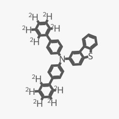 [2H]c1c([2H])c([2H])c(-c2ccc(N(c3ccc(-c4c([2H])c([2H])c([2H])c([2H])c4[2H])cc3)c3ccc4sc5ccccc5c4c3)cc2)c([2H])c1[2H]